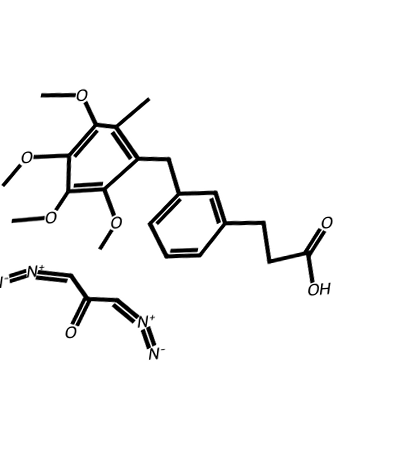 COc1c(C)c(Cc2cccc(CCC(=O)O)c2)c(OC)c(OC)c1OC.[N-]=[N+]=CC(=O)C=[N+]=[N-]